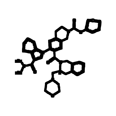 CCCCN(CCCC)C(=O)c1cn(-c2cc3c(cc2C(=O)N2Cc4ccccc4C[C@H]2CN2CCOCC2)CN(C(=O)Oc2ccccc2)CC3)c2ccccc12